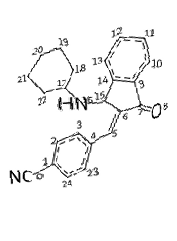 N#Cc1ccc(/C=C2/C(=O)c3ccccc3C2NC2CCCCC2)cc1